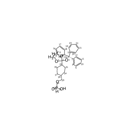 COC(OC)(OC(c1ccccc1)(c1ccccc1)c1ccccc1)C1CCC(CO[PH](=O)O)CC1